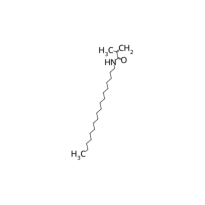 C=C(C)C(=O)NCCCCCCCCCCCCCCCCCC